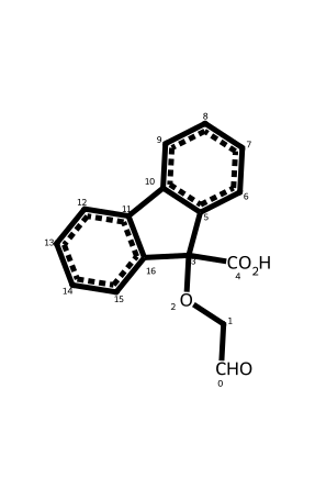 O=CCOC1(C(=O)O)c2ccccc2-c2ccccc21